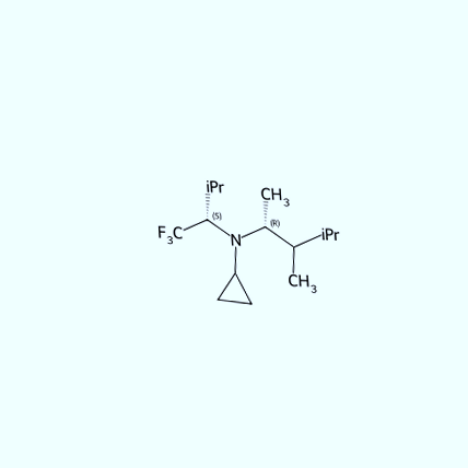 CC(C)C(C)[C@@H](C)N(C1CC1)[C@@H](C(C)C)C(F)(F)F